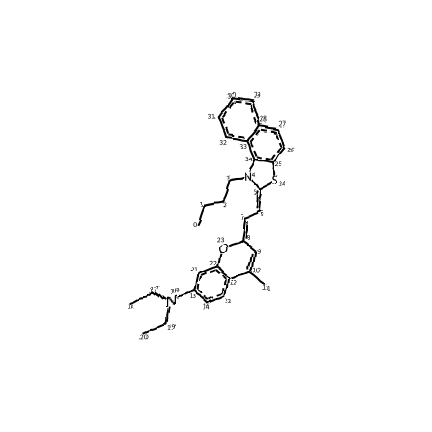 CCCCN1C(=CC=C2C=C(C)c3ccc(N(CC)CC)cc3O2)Sc2ccc3ccccc3c21